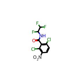 O=C(NC(F)C(F)F)c1c(Cl)ccc([N+](=O)[O-])c1Cl